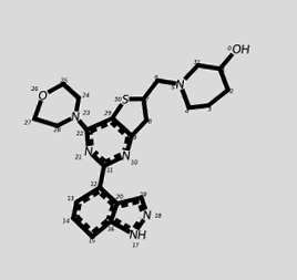 OC1CCCN(CC2Cc3nc(-c4cccc5[nH]ncc45)nc(N4CCOCC4)c3S2)C1